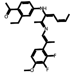 C\C=C/C=C(Nc1ccc(C(C)=O)c(CC)c1)\C(C)=N\C=C(/C)c1ccc(OC)c(F)c1F